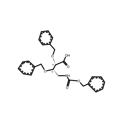 O=C(NC[C@H](OCc1ccccc1)[C@H](OCc1ccccc1)C(=O)O)OCc1ccccc1